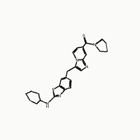 O=C(c1ccn2c(Cc3ccc4nc(NC5CCCCC5)sc4c3)cnc2c1)N1CCCC1